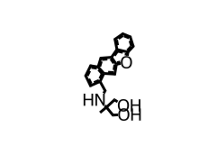 CC(CO)(CO)NCc1cccc2cc3c(cc12)oc1ccccc13